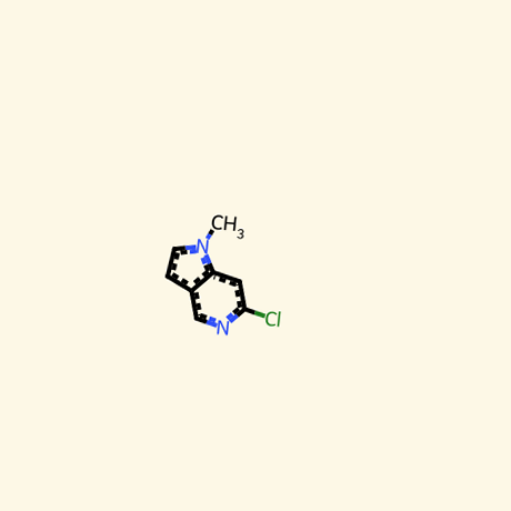 Cn1ccc2cnc(Cl)cc21